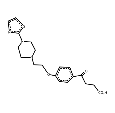 O=C(O)CCC(=O)c1ccc(OCCN2CCN(c3nccs3)CC2)cc1